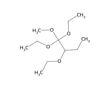 CCO[C](CC)C(OC)(OCC)OCC